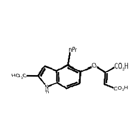 CCCc1c(OC(=CC(=O)O)C(=O)O)ccc2[nH]c(C(=O)O)cc12